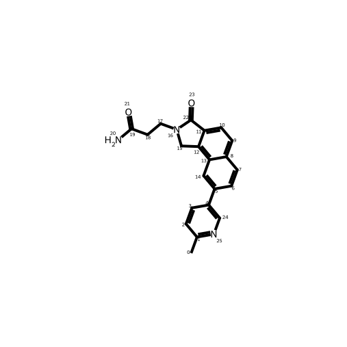 Cc1ccc(-c2ccc3ccc4c(c3c2)CN(CCC(N)=O)C4=O)cn1